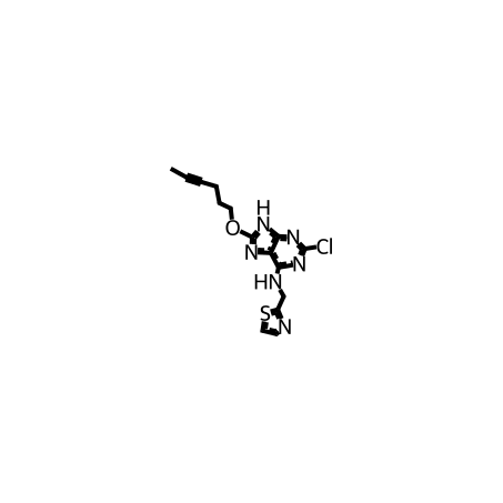 CC#CCCCOc1nc2c(NCc3nccs3)nc(Cl)nc2[nH]1